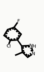 Cc1cn[nH]c1-c1cc(F)ccc1Cl